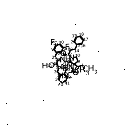 CC[C@@H](C)C1(NC(C)=O)CCN(C(CCc2ccccc2)C(=O)N[C@@H](Cc2cc(F)cc(F)c2)[C@H](O)C2Cc3ccccc3CN2)C1=O